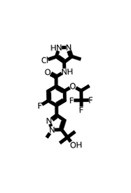 Cc1n[nH]c(Cl)c1NC(=O)c1cc(F)c(-c2cc(C(C)(C)O)n(C)n2)cc1OC(C)C(F)(F)F